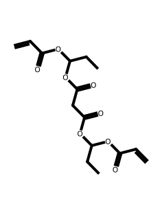 C=CC(=O)OC(CC)OC(=O)CC(=O)OC(CC)OC(=O)C=C